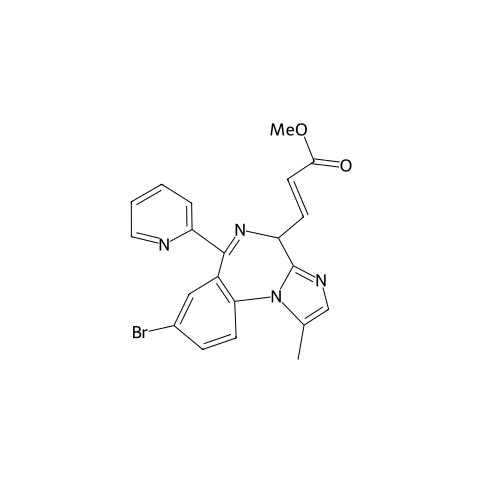 COC(=O)/C=C/C1N=C(c2ccccn2)c2cc(Br)ccc2-n2c(C)cnc21